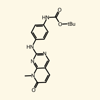 Cn1c(=O)ccc2cnc(Nc3ccc(NC(=O)OC(C)(C)C)cc3)nc21